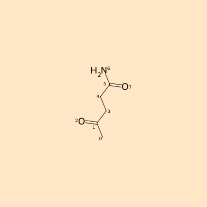 CC(=O)CCC(N)=O